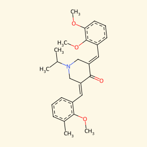 COc1cccc(/C=C2\CN(C(C)C)C/C(=C\c3cccc(C)c3OC)C2=O)c1OC